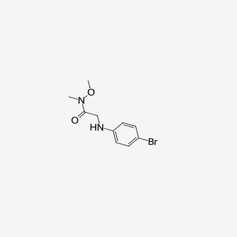 CON(C)C(=O)CNc1ccc(Br)cc1